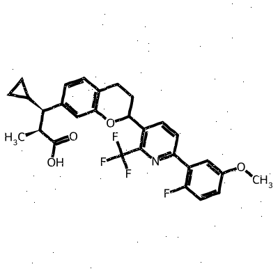 COc1ccc(F)c(-c2ccc(C3CCc4ccc([C@H](C5CC5)[C@H](C)C(=O)O)cc4O3)c(C(F)(F)F)n2)c1